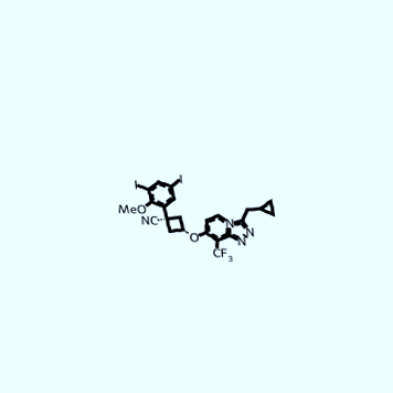 COc1c(I)cc(I)cc1[C@]1(C#N)C[C@@H](Oc2ccn3c(CC4CC4)nnc3c2C(F)(F)F)C1